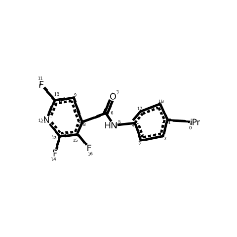 CC(C)c1ccc(NC(=O)c2cc(F)nc(F)c2F)cc1